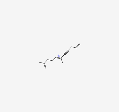 C=CCC#C/C(C)=C/CCC(=C)C